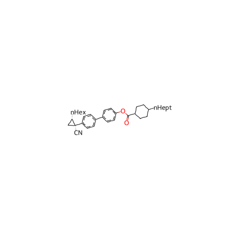 CCCCCCCC1CCC(C(=O)Oc2ccc(-c3ccc([C@@]4(C#N)C[C@@H]4CCCCCC)cc3)cc2)CC1